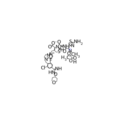 CC(C)(O/N=C(\C(=O)N[C@@H]1C(=O)N2C(C(=O)[O-])=C(C[n+]3ccc4n3CCN4Cc3c(F)cc(C(=N)NOC4CCOCC4)cc3Cl)CS[C@H]12)c1csc(N)n1)C(=O)O